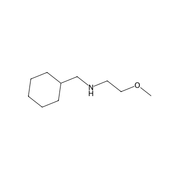 COCCNCC1CCCCC1